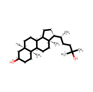 C[C@H](CCC(C)(C)O)[C@H]1CCC2C3CC[C@@H]4CC(O)CC[C@]4(C)C3CC[C@@]21C